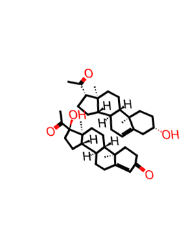 CC(=O)[C@@]1(O)CC[C@H]2[C@@H]3CCC4=CC(=O)CC[C@]4(C)[C@H]3CC[C@@]21C.CC(=O)[C@H]1CC[C@H]2[C@@H]3CC=C4C[C@@H](O)CC[C@]4(C)[C@H]3CC[C@]12C